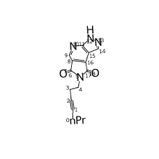 CCCC#CCCN1C(=O)c2cnc3[nH]ncc3c2C1=O